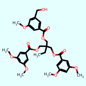 CCC(COC(=O)c1cc(CO)cc(OC)c1)(COC(=O)c1cc(OC)cc(OC)c1)COC(=O)c1cc(OC)cc(OC)c1